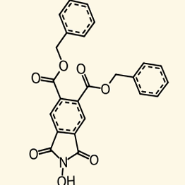 O=C(OCc1ccccc1)c1cc2c(cc1C(=O)OCc1ccccc1)C(=O)N(O)C2=O